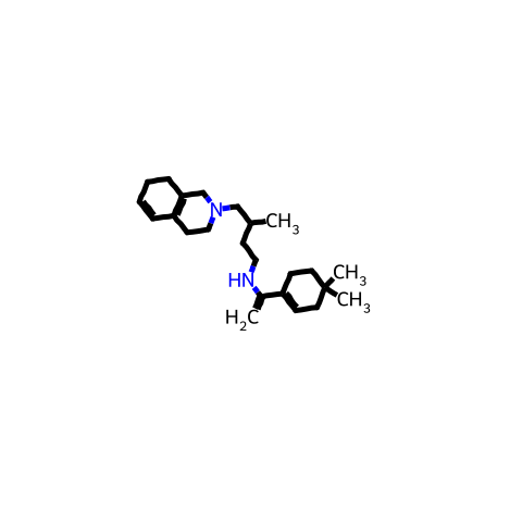 C=C(NCCC(C)CN1CCC2=C(CCC=C2)C1)C1=CCC(C)(C)CC1